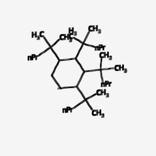 CCCC(C)(C)C1[CH]CC(C(C)(C)CCC)C(C(C)(C)CCC)C1C(C)(C)CCC